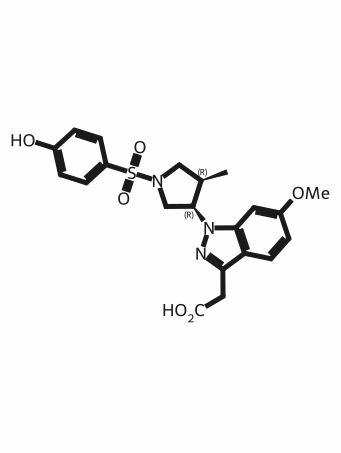 COc1ccc2c(CC(=O)O)nn([C@H]3CN(S(=O)(=O)c4ccc(O)cc4)C[C@H]3C)c2c1